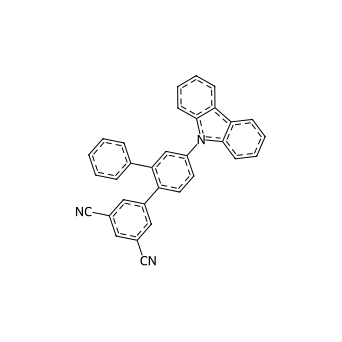 N#Cc1cc(C#N)cc(-c2ccc(-n3c4ccccc4c4ccccc43)cc2-c2ccccc2)c1